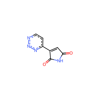 O=C1C=C(c2ccnnn2)C(=O)N1